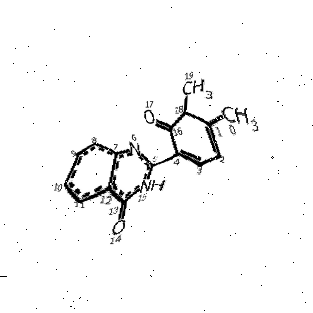 CC1=CC=C(c2nc3ccccc3c(=O)[nH]2)C(=O)C1C